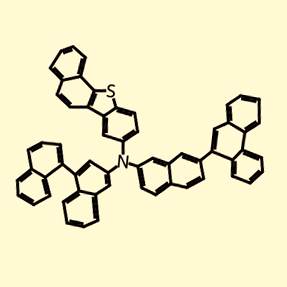 c1ccc2c(-c3cc(N(c4ccc5ccc(-c6cc7ccccc7c7ccccc67)cc5c4)c4ccc5sc6c7ccccc7ccc6c5c4)cc4ccccc34)cccc2c1